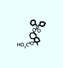 Cc1ccc2c(c1OCC(=O)O)CCCC(OC(=O)N(c1ccccc1)c1ccccc1)=C2